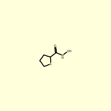 O=C(NO)C1CCCS1